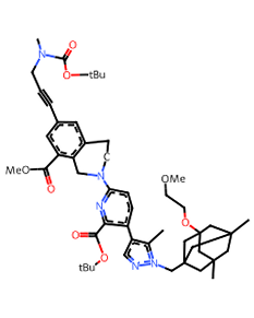 COCCOC12CC3(C)CC(C)(CC(Cn4ncc(-c5ccc(N6CCc7cc(C#CCN(C)C(=O)OC(C)(C)C)cc(C(=O)OC)c7C6)nc5C(=O)OC(C)(C)C)c4C)(C3)C1)C2